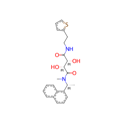 C[C@H](c1cccc2ccccc12)N(C)C(=O)[C@H](O)[C@@H](O)C(=O)NCCc1cccs1